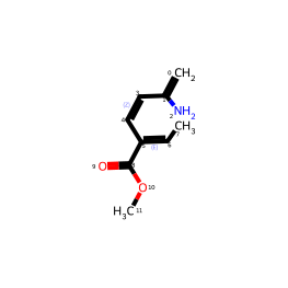 C=C(N)/C=C\C(=C/C)C(=O)OC